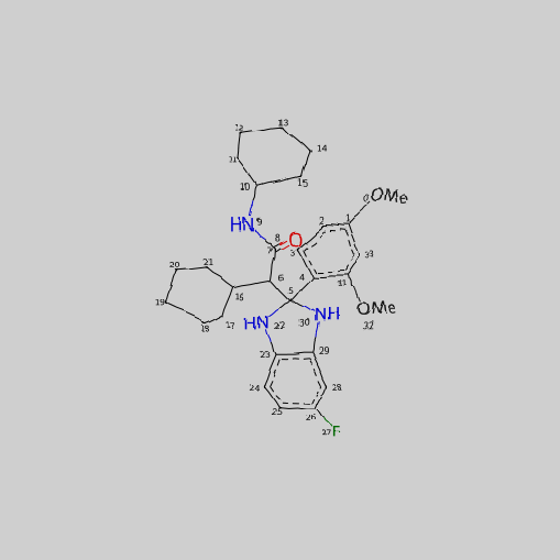 COc1ccc(C2(C(C(=O)NC3CCCCC3)C3CCCCC3)Nc3ccc(F)cc3N2)c(OC)c1